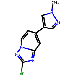 Cn1cc(-c2ccn3nc(Br)nc3c2)cn1